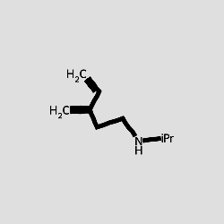 C=CC(=C)CCNC(C)C